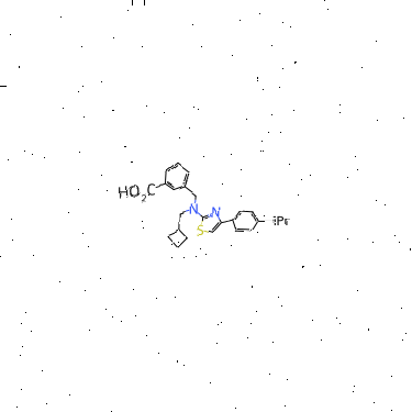 CC(C)c1ccc(-c2csc(N(Cc3cccc(C(=O)O)c3)CC3CCC3)n2)cc1